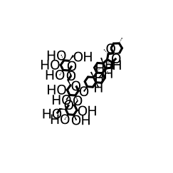 C[C@@H]1CC[C@@]2(OC1)O[C@H]1C[C@H]3[C@@H]4CC[C@@H]5C[C@@H](O[C@@H]6O[C@H](CO[C@@H]7O[C@H](CO)[C@@H](O)[C@H](O)[C@H]7O)[C@@H](O)[C@H](O)[C@H]6O[C@@H]6O[C@H](CO)[C@@H](O)[C@H](O)[C@H]6O)CC[C@]5(C)[C@H]4CC[C@]3(C)[C@H]1[C@@H]2C